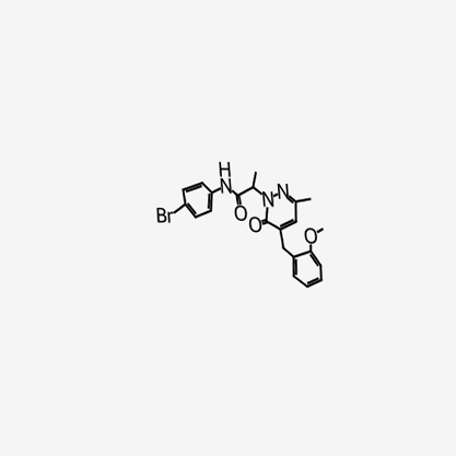 COc1ccccc1Cc1cc(C)nn(C(C)C(=O)Nc2ccc(Br)cc2)c1=O